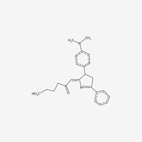 CN(C)c1ccc(C2CC(c3ccccc3)=N/C2=C\C(=O)CCCC(=O)O)cc1